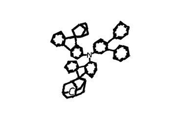 c1ccc(-c2ccc(N(c3ccc4c(c3)C3(CC5CCC3C5)c3ccccc3-4)c3cccc4c3-c3ccccc3C43C4CCC5CC(C4)CC3C5)cc2-c2ccccc2)cc1